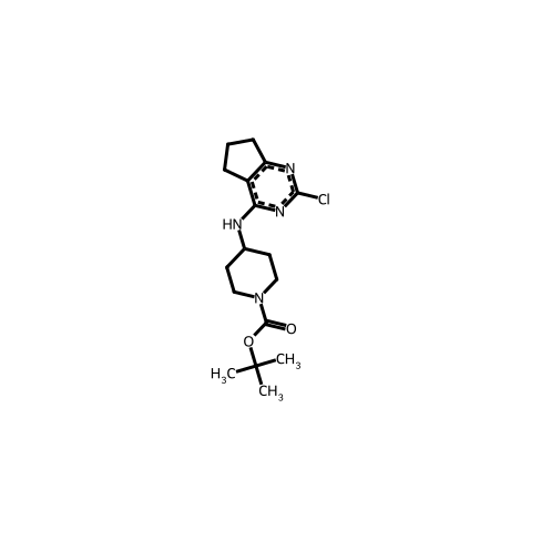 CC(C)(C)OC(=O)N1CCC(Nc2nc(Cl)nc3c2CCC3)CC1